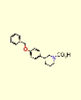 O=C(O)N1CCCC(c2ccc(OCc3ccccc3)cc2)C1